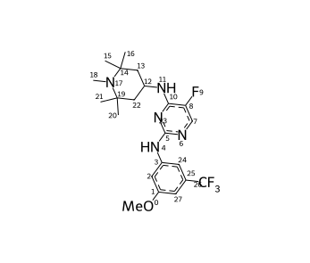 COc1cc(Nc2ncc(F)c(NC3CC(C)(C)N(C)C(C)(C)C3)n2)cc(C(F)(F)F)c1